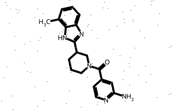 Cc1cccc2nc(C3CCCN(C(=O)c4ccnc(N)c4)C3)[nH]c12